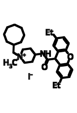 CCc1ccc2c(c1)C(C(=O)NC1CC[N+](C)(CC3CCCCCCC3)CC1)c1cc(CC)ccc1O2.[I-]